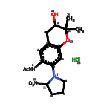 CC(=O)Nc1cc2c(cc1N1CCCC1[N+](=O)[O-])OC(C)(C)C(O)C2.Cl